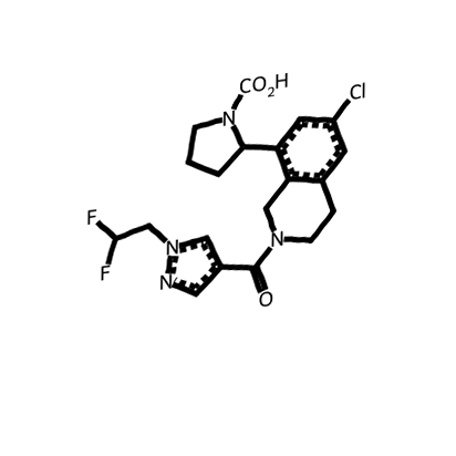 O=C(c1cnn(CC(F)F)c1)N1CCc2cc(Cl)cc(C3CCCN3C(=O)O)c2C1